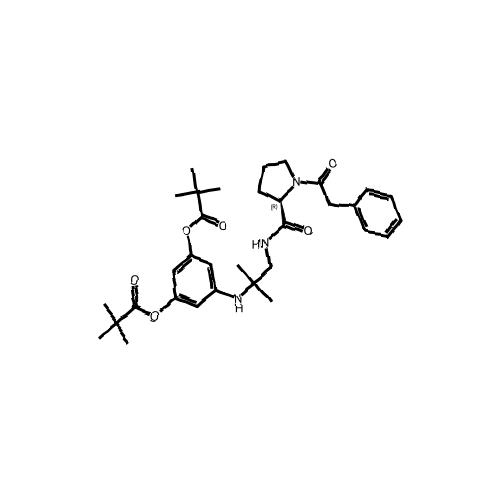 CC(C)(CNC(=O)[C@H]1CCCN1C(=O)Cc1ccccc1)Nc1cc(OC(=O)C(C)(C)C)cc(OC(=O)C(C)(C)C)c1